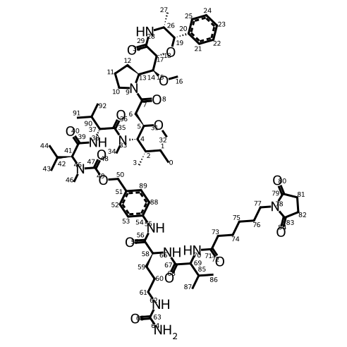 CC[C@H](C)[C@@H]([C@@H](CC(=O)N1CCC[C@H]1[C@H](OC)[C@H]1O[C@@H](c2ccccc2)[C@@H](C)NC1=O)OC)N(C)C(=O)[C@H](NC(=O)[C@H](C(C)C)N(C)C(=O)OCc1ccc(NC(=O)[C@H](CCCNC(N)=O)NC(=O)C(NC(=O)CCCCCN2C(=O)CCC2=O)C(C)C)cc1)C(C)C